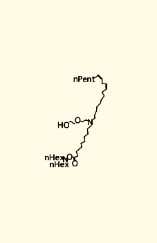 CCCCC/C=C\C/C=C\CCCCCCCCN(CCCCCCCCCC(=O)ON(CCCCCC)CCCCCC)CCOCCO